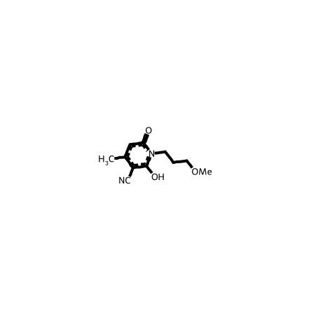 COCCCn1c(O)c(C#N)c(C)cc1=O